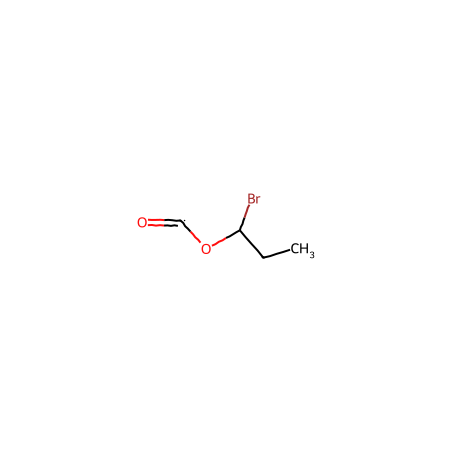 CCC(Br)O[C]=O